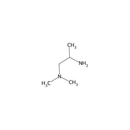 CC(N)CN(C)C